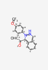 O=CC(=O)C1=c2ccccc2=CNN1c1ccc(OC(F)(F)F)cc1